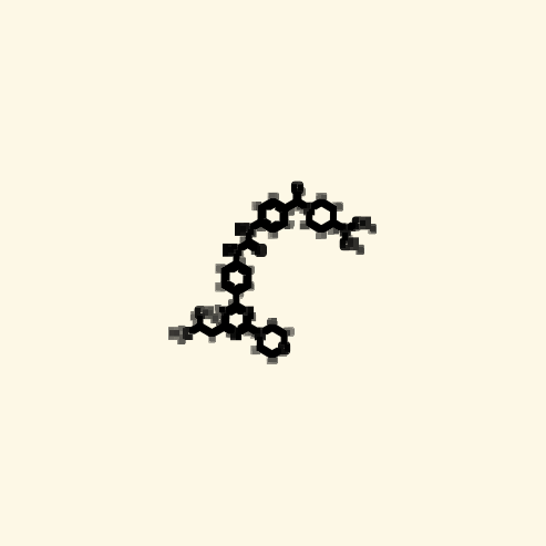 CC(C)Cc1nc(-c2ccc(NC(=O)Nc3ccc(C(=O)N4CCC(N(C)C)CC4)cc3)cc2)nc(N2CCOCC2)n1